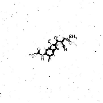 CC(=O)Nc1cc2c(cc1F)cc(C(=O)/C(C#N)=C/N(C)C)n2I